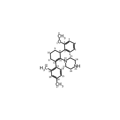 COc1ccccc1C1CCCC(c2ccc(C)cc2C)=C1N1CCNCC1